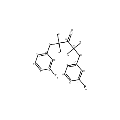 CC(C)(Cc1cccc(F)c1)C(=O)C(C)(C)Cc1cccc(F)c1